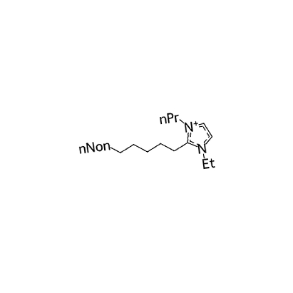 CCCCCCCCCCCCCCc1n(CC)cc[n+]1CCC